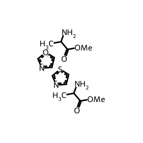 COC(=O)C(C)N.COC(=O)C(C)N.c1cocn1.c1cscn1